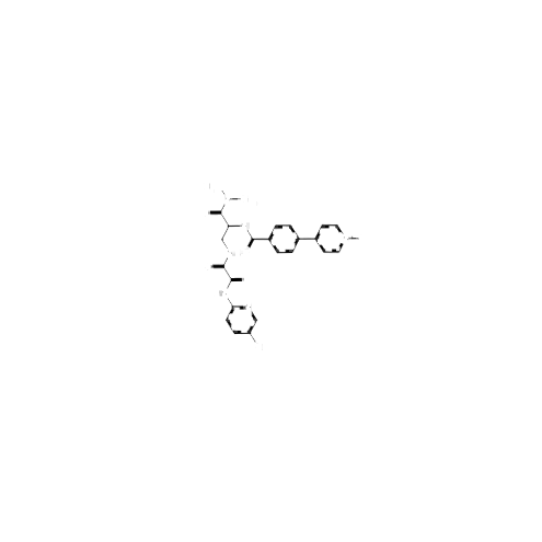 CN(C)C(=O)C(CNC(=O)C(=O)Nc1ccc(Cl)cn1)NC(=O)c1ccc(-c2cc[n+]([O-])cc2)cc1